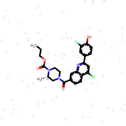 CCCOC(=O)N1CCN(C(=O)c2ccc3c(Cl)cc(-c4ccc(O)c(F)c4)nc3c2)C[C@@H]1C